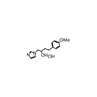 COc1ccc(CCC(O)Cn2ccnc2)cc1.Cl